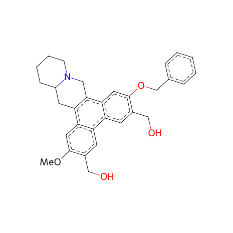 COc1cc2c3c(c4cc(OCc5ccccc5)c(CO)cc4c2cc1CO)CN1CCCCC1C3